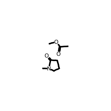 CN1CCCC1=O.COC(C)=O